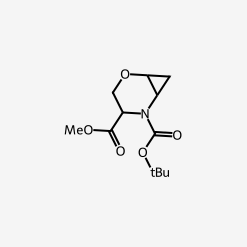 COC(=O)C1COC2CC2N1C(=O)OC(C)(C)C